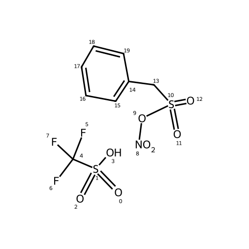 O=S(=O)(O)C(F)(F)F.O=[N+]([O-])OS(=O)(=O)Cc1ccccc1